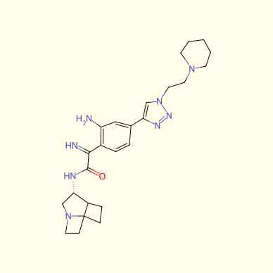 N=C(C(=O)N[C@H]1CN2CCC23CCC13)c1ccc(-c2cn(CCN3CCCCC3)nn2)cc1N